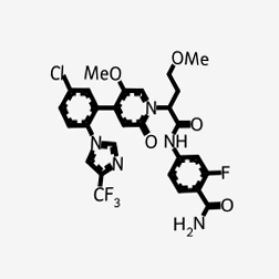 COCCC(C(=O)Nc1ccc(C(N)=O)c(F)c1)n1cc(OC)c(-c2cc(Cl)ccc2-n2cnc(C(F)(F)F)c2)cc1=O